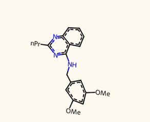 CCCc1nc(NCc2cc(OC)cc(OC)c2)c2ccccc2n1